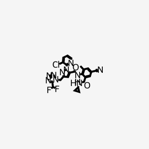 Cc1cc(C#N)cc(C(=O)NC2CC2)c1NC(=O)c1cc(Cn2nnnc2C(F)F)nn1-c1ncccc1Cl